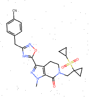 Cn1nc(-c2nc(Cc3ccc(C#N)cc3)no2)c2c1C(=O)N(CC1(S(=O)(=O)C3CC3)CC1)CC2